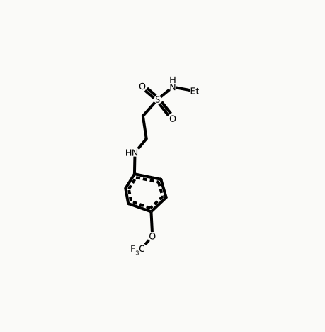 CCNS(=O)(=O)CCNc1ccc(OC(F)(F)F)cc1